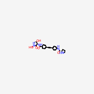 C[C@@H](O)[C@H](NC(=O)c1ccc(C#Cc2ccc(NC(=O)[C@@H]3CCCN3)cc2)cc1)C(=O)NO